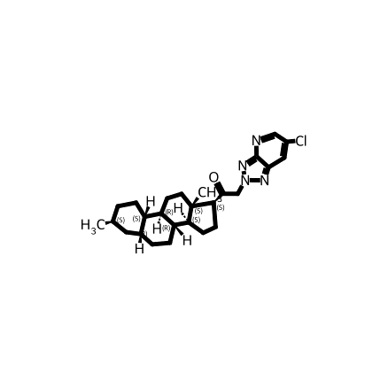 C[C@H]1CC[C@H]2[C@H](CC[C@@H]3[C@@H]2CC[C@]2(C)[C@@H](C(=O)Cn4nc5cc(Cl)cnc5n4)CC[C@@H]32)C1